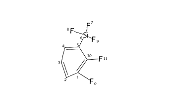 Fc1cccc([Si](F)(F)F)c1F